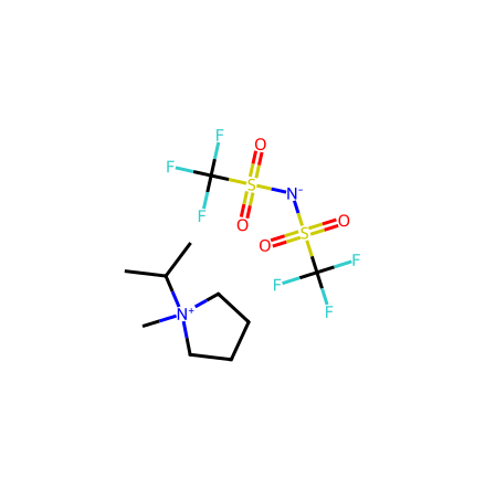 CC(C)[N+]1(C)CCCC1.O=S(=O)([N-]S(=O)(=O)C(F)(F)F)C(F)(F)F